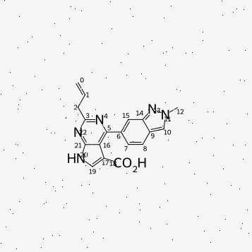 C=CCc1nc(-c2ccc3cn(C)nc3c2)c2c(C(=O)O)c[nH]c2n1